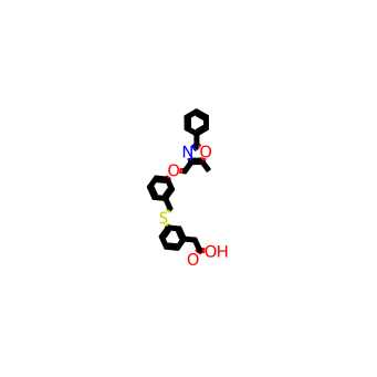 Cc1oc(-c2ccccc2)nc1COc1cccc(CSc2cccc(CC(=O)O)c2)c1